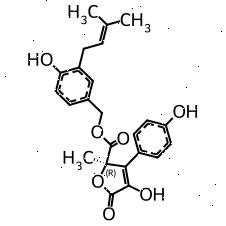 CC(C)=CCc1cc(COC(=O)[C@]2(C)OC(=O)C(O)=C2c2ccc(O)cc2)ccc1O